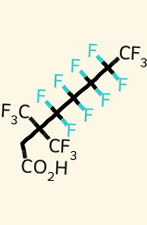 O=C(O)CC(C(F)(F)F)(C(F)(F)F)C(F)(F)C(F)(F)C(F)(F)C(F)(F)C(F)(F)F